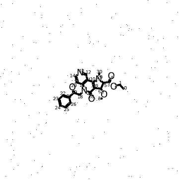 CCOC(=O)C1C(OC)c2c(c3cnccc3n(CC(=O)c3ccccc3)c2=O)N1C